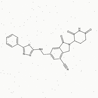 N#Cc1cc(CNc2nnc(-c3ccccc3)o2)cc2c1CN(C1CCC(=O)NC1=O)C2=O